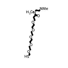 CNCCN(C)C(=O)CCOCCOCCOCCOCCOCS